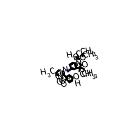 CCC1(CC)C(=O)N(C(=O)OC(C)(C)C)c2ccc(/C=N/N(CC(C)C)C3=NS(=O)(=O)c4ccc(O)cc43)cc21